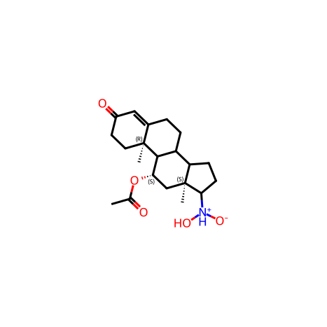 CC(=O)O[C@H]1C[C@@]2(C)C(CCC2[NH+]([O-])O)C2CCC3=CC(=O)CC[C@]3(C)C21